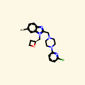 CC(=O)c1ccc2nc(CN3CCN(c4cccc(Br)n4)CC3)n(C[C@@H]3CCO3)c2c1